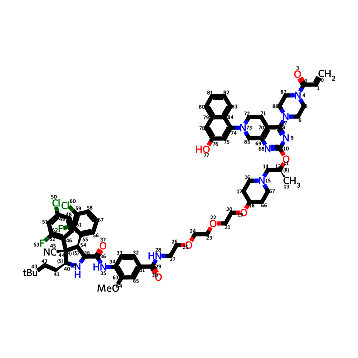 C=CC(=O)N1CCN(c2nc(O[C@H](C)CN3CCC(OCCOCCOCCNC(=O)c4ccc(NC(=O)C5N[C@@H](CCC(C)(C)C)[C@](C#N)(c6ccc(Cl)cc6F)[C@H]5c5cccc(Cl)c5F)c(OC)c4)CC3)nc3c2CCN(c2cc(O)cc4ccccc24)C3)CC1